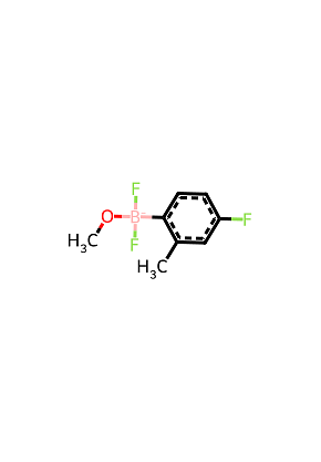 CO[B-](F)(F)c1ccc(F)cc1C